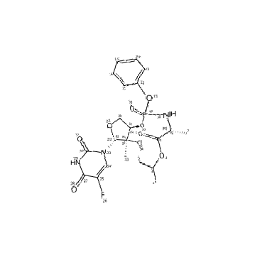 CC(C)OC(=O)[C@@H](C)NP(=O)(Oc1ccccc1)O[C@@H]1CO[C@@H](n2cc(F)c(=O)[nH]c2=O)[C@]1(C)Cl